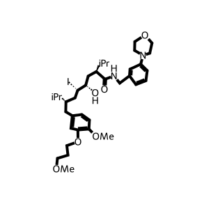 COCCCOc1cc(C[C@@H](C[C@H](I)[C@@H](O)C[C@H](C(=O)NCc2cccc(N3CCOCC3)c2)C(C)C)C(C)C)ccc1OC